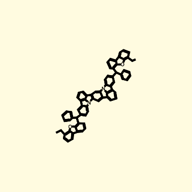 CCc1cccc2c1oc1c(C(c3ccccc3)c3ccc4c(c3)c3cccc5c6cc7c(cc6n4c35)c3cccc4c5cc(C(c6ccccc6)c6cccc8c6oc6c(CC)cccc68)ccc5n7c43)cccc12